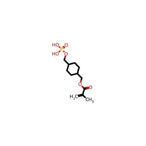 C=C(C)C(=O)OCC1CCC(COP(=O)(O)O)CC1